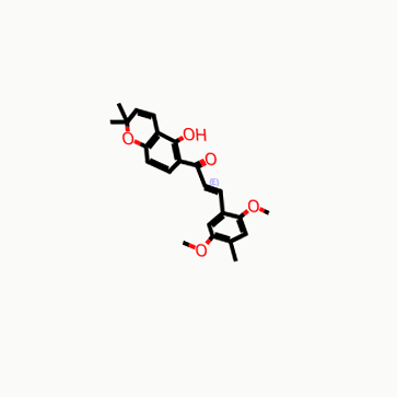 COc1cc(/C=C/C(=O)c2ccc3c(c2O)C=CC(C)(C)O3)c(OC)cc1C